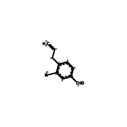 C=CCc1ccc(C=O)cc1Br